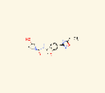 CCc1nc(-c2ccc3c(c2)OCC3NC(=O)N2CCC(O)C2)no1